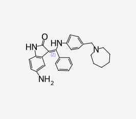 Nc1ccc2c(c1)/C(=C(/Nc1ccc(CN3CCCCCC3)cc1)c1ccccc1)C(=O)N2